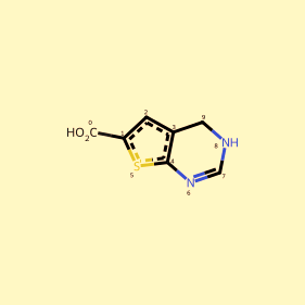 O=C(O)c1cc2c(s1)N=CNC2